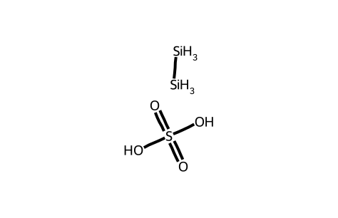 O=S(=O)(O)O.[SiH3][SiH3]